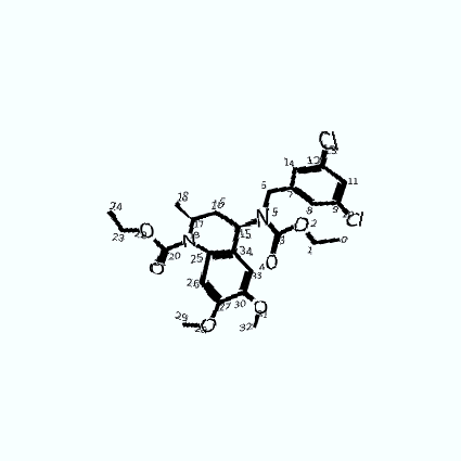 CCOC(=O)N(Cc1cc(Cl)cc(Cl)c1)[C@@H]1C[C@H](C)N(C(=O)OCC)c2cc(OC)c(OC)cc21